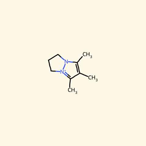 Cc1c(C)n2[n+](c1C)CCC2